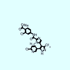 COC(=O)c1ccc(NC(=O)c2ncc(-c3c(C(F)(F)F)n[nH]c3-c3ccc(Cl)nc3)n2C)cc1Cl